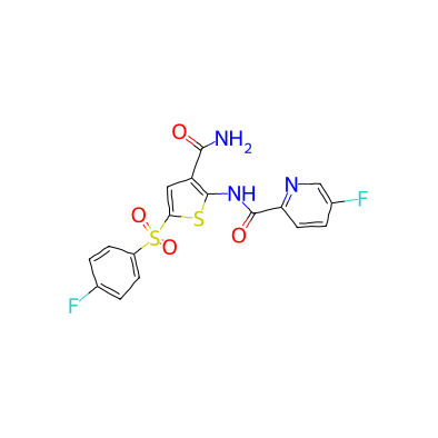 NC(=O)c1cc(S(=O)(=O)c2ccc(F)cc2)sc1NC(=O)c1ccc(F)cn1